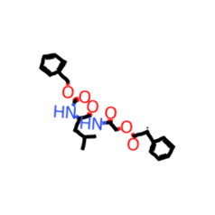 CC(C)CC(NC(=O)OCc1ccccc1)C(=O)NC(=O)COC(=O)[CH]c1ccccc1